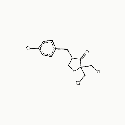 O=C1C(Cc2ccc(Cl)cc2)CCC1(CCl)CCl